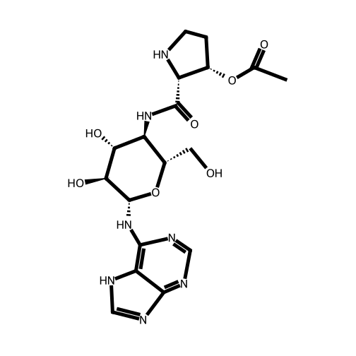 CC(=O)O[C@H]1CCN[C@H]1C(=O)N[C@@H]1[C@@H](O)[C@H](O)[C@@H](Nc2ncnc3nc[nH]c23)O[C@H]1CO